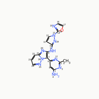 Cc1nc(N)cc(-c2c(Nc3ccn(-c4ncco4)n3)nc3cccnn23)n1